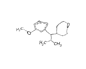 COc1cccc(C(C(C)C)C2CCOCC2)c1